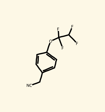 N#CCc1ccc(OC(F)(F)C(F)F)cc1